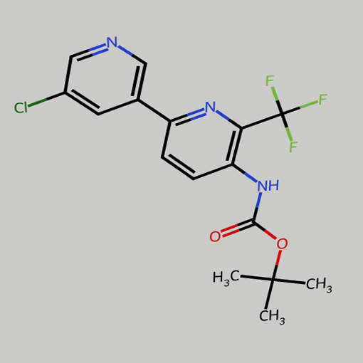 CC(C)(C)OC(=O)Nc1ccc(-c2cncc(Cl)c2)nc1C(F)(F)F